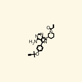 C#CC(C)(C)Oc1ccc(-c2nn([C@@H]3CCCN(C(=O)C=C)C3)c3ncnc(N)c23)cc1